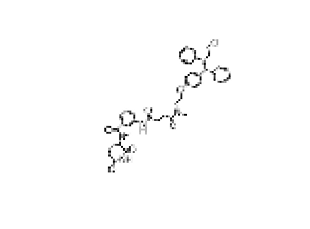 CN(CCOc1ccc(/C(=C(/CCCl)c2ccccc2)c2ccccc2)cc1)C(=O)CCC(=O)Nc1cccc2c1CN(C1CCC(=O)NC1=O)C2=O